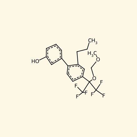 CCCc1cc(C(OCOC)(C(F)(F)F)C(F)(F)F)ccc1-c1cccc(O)c1